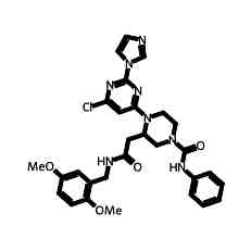 COc1ccc(OC)c(CNC(=O)CC2CN(C(=O)Nc3ccccc3)CCN2c2cc(Cl)nc(-n3ccnc3)n2)c1